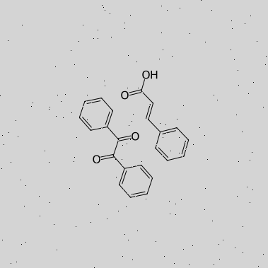 O=C(C(=O)c1ccccc1)c1ccccc1.O=C(O)C=Cc1ccccc1